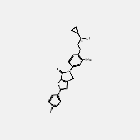 COc1cc(N2Cc3cc(-c4ccc(Cl)cc4)sc3C2=O)ccc1OC[C@H](O)C1CC1